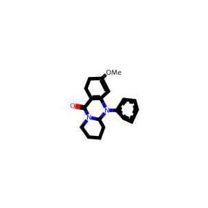 COC1=CC2=C(CC1)C(=O)N1CCCCC1N2c1ccccc1